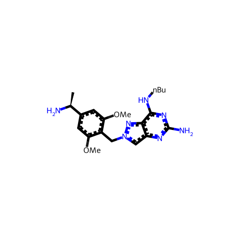 CCCCNc1nc(N)nc2cn(Cc3c(OC)cc([C@H](C)N)cc3OC)nc12